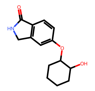 O=C1NCc2cc(OC3CCCCC3O)ccc21